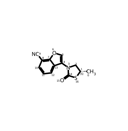 C[C@H]1CN(c2coc3c(C#N)cccc23)C(=O)S1